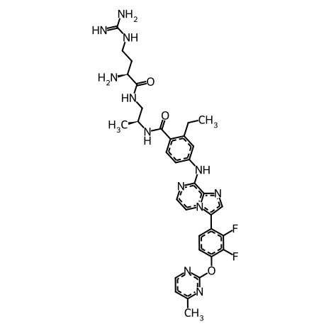 CCc1cc(Nc2nccn3c(-c4ccc(Oc5nccc(C)n5)c(F)c4F)cnc23)ccc1C(=O)N[C@@H](C)CNC(=O)[C@@H](N)CCNC(=N)N